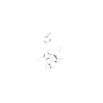 C[N@+]1(CC2CC2)CC[C@]23c4c5c(OCc6ccc(Cl)cc6)cc(O)c4O[C@H]2C(=O)CC[C@H]3[C@H]1C5.[I-]